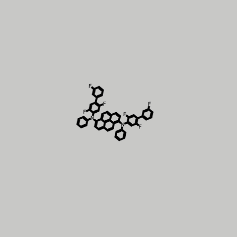 Fc1cccc(-c2cc(F)c(N(c3ccccc3)c3ccc4ccc5c(N(c6ccccc6)c6cc(F)c(-c7cccc(F)c7)cc6F)ccc6ccc3c4c65)cc2F)c1